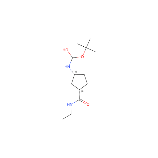 CCNC(=O)[C@H]1CC[C@@H](NC(O)OC(C)(C)C)C1